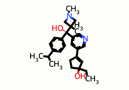 CCC1(O)C=C(c2cncc([C@@](O)(c3ccc(C(C)C)cc3)C3(C)CN(C)C3)c2)CC1